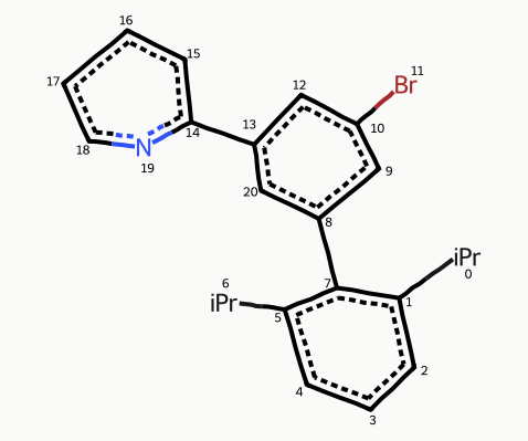 CC(C)c1cccc(C(C)C)c1-c1cc(Br)cc(-c2ccccn2)c1